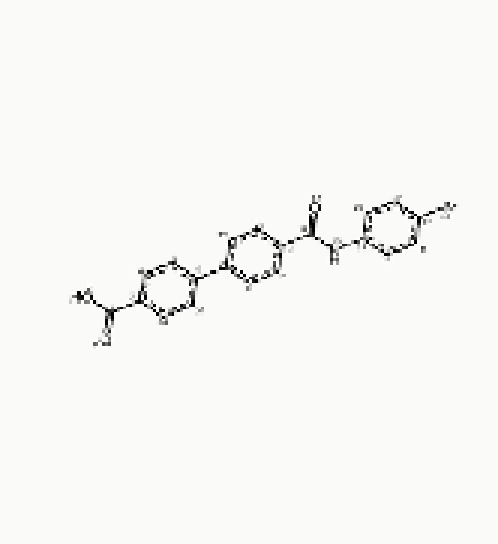 O=C(O)c1ccc(-c2ccc(C(=O)Nc3ccc(Br)cc3)cc2)cc1